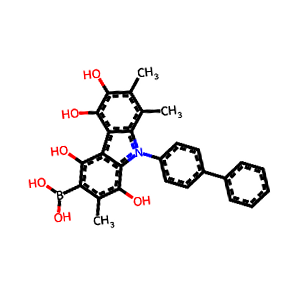 Cc1c(O)c(O)c2c3c(O)c(B(O)O)c(C)c(O)c3n(-c3ccc(-c4ccccc4)cc3)c2c1C